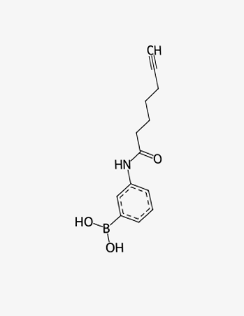 C#CCCCCC(=O)Nc1cccc(B(O)O)c1